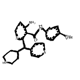 COc1ccc(NC(=O)c2c(N)ccnc2C(c2ccncc2)C2CCNCC2)cc1